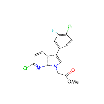 COC(=O)Cn1cc(-c2ccc(Cl)c(F)c2)c2ccc(Cl)nc21